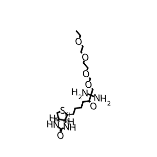 CCOCCOCCOCOCC(N)(N)C(=O)CCCC[C@@H]1SC[C@@H]2NC(=O)N[C@@H]21